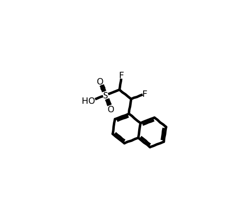 O=S(=O)(O)C(F)C(F)c1cccc2ccccc12